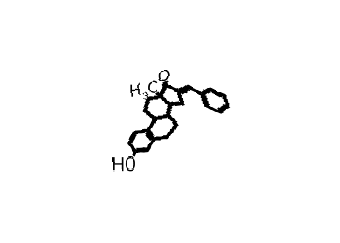 CC12CCC3c4ccc(O)cc4CCC3C1CC(=Cc1ccccc1)C2=O